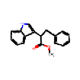 COC(=O)C(Cc1ccccc1)c1c[nH]c2ccccc12